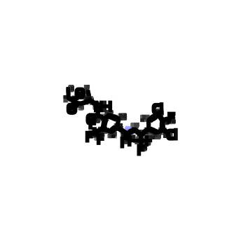 CCS(=O)(=O)C[C@@H](C)NC(=O)c1ccc(/C(F)=C/C(c2cc(Cl)c(F)c(Cl)c2)C(F)(F)F)cc1C(F)(F)F